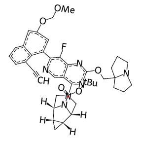 C#Cc1cccc2cc(OCOC)cc(-c3ncc4c(N5C[C@@H]6[C@@H]7C[C@@H]7[C@H](C5)N6C(=O)OC(C)(C)C)nc(OCC56CCCN5CCC6)nc4c3F)c12